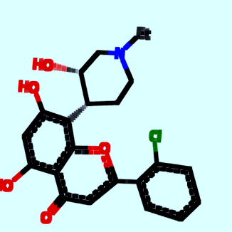 CCN1CC[C@H](c2c(O)cc(O)c3c(=O)cc(-c4ccccc4Cl)oc23)[C@H](O)C1